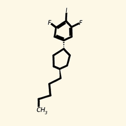 CCCCC[C@H]1CC[C@H](c2cc(F)c(I)c(F)c2)CC1